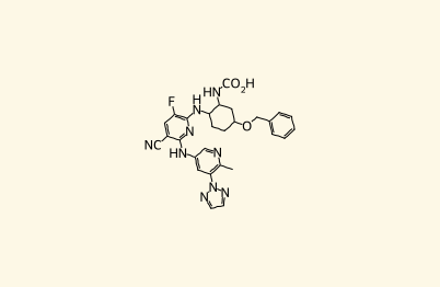 Cc1ncc(Nc2nc(NC3CCC(OCc4ccccc4)CC3NC(=O)O)c(F)cc2C#N)cc1-n1nccn1